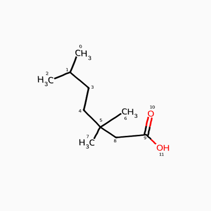 CC(C)CCC(C)(C)CC(=O)O